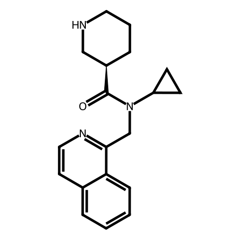 O=C([C@@H]1CCCNC1)N(Cc1nccc2ccccc12)C1CC1